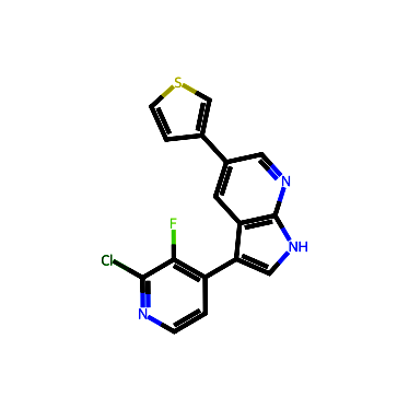 Fc1c(-c2c[nH]c3ncc(-c4ccsc4)cc23)ccnc1Cl